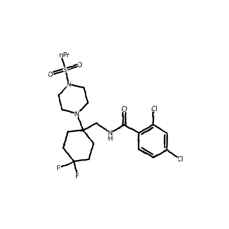 CCCS(=O)(=O)N1CCN(C2(CNC(=O)c3ccc(Cl)cc3Cl)CCC(F)(F)CC2)CC1